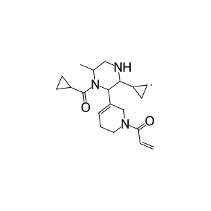 C=CC(=O)N1CCC=C(C2C(C3[CH]C3)NCC(C)N2C(=O)C2CC2)C1